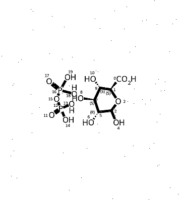 O=C(O)[C@H]1OC(O)[C@H](O)[C@@H](O)[C@@H]1O.O=P(O)(O)OP(=O)(O)O